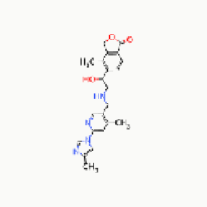 Cc1cn(-c2cc(C)c(CNCC(O)c3ccc4c(c3C)COC4=O)cn2)cn1